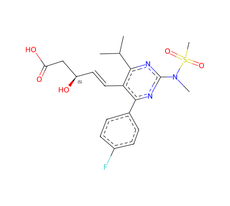 CC(C)c1nc(N(C)S(C)(=O)=O)nc(-c2ccc(F)cc2)c1C=C[C@@H](O)CC(=O)O